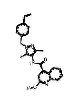 C=Cc1ccc(Cn2nc(C)c(NC(=O)c3cc(OC)nc4ccccc34)c2C)cc1